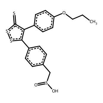 CCCOc1ccc(-c2c(-c3ccc(CS(=O)O)cc3)ssc2=S)cc1